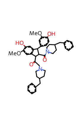 COc1cc(C2c3cc(O)c(OC)cc3C(C(=O)CN3CCC(Cc4ccccc4)CC3)C2C(=O)N2CCC(Cc3ccccc3)CC2)ccc1O